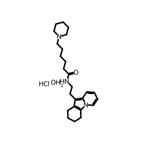 Cl.O.O=C(CCCCCN1CCCCC1)NCCc1c2c(n3ccccc13)CCCC2